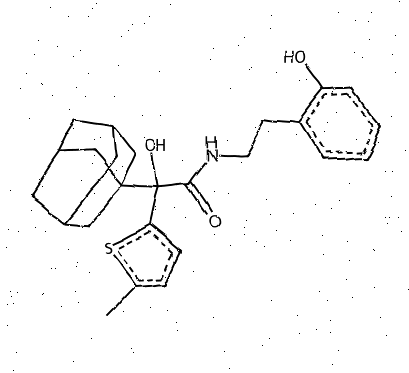 Cc1ccc(C(O)(C(=O)NCCc2ccccc2O)C23CC4CC(CC(C4)C2)C3)s1